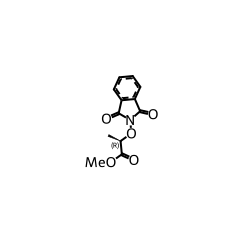 COC(=O)[C@@H](C)ON1C(=O)c2ccccc2C1=O